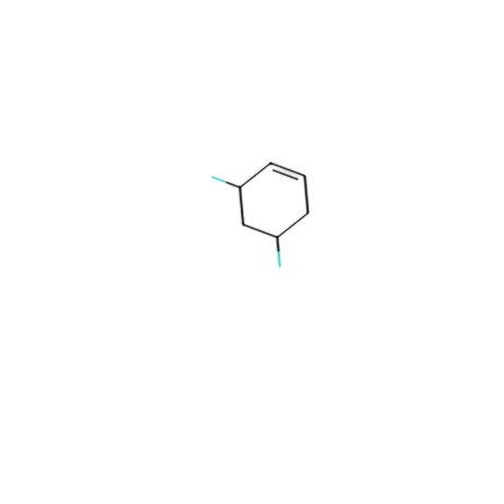 FC1C=CCC(F)C1